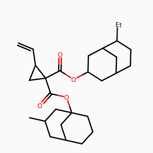 C=CC1CC1(C(=O)OC1CC2CCC(CC)C(C2)C1)C(=O)OC12CCCC(CC(C)C1)C2